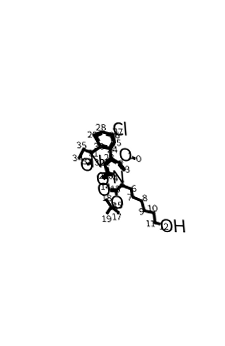 COc1cn(C(CCCCCCO)C(=O)OC(C)(C)C)c(=O)cc1-c1cc(Cl)ccc1C1=NOCC1